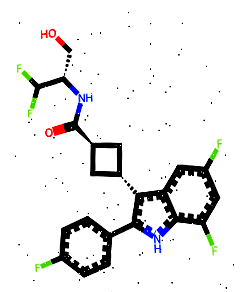 O=C(N[C@@H](CO)C(F)F)[C@H]1C[C@H](c2c(-c3ccc(F)cc3)[nH]c3c(F)cc(F)cc32)C1